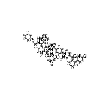 CN(CCC[C@H](CSc1ccccc1)Nc1ccc(S(=O)(=O)NC(=O)c2ccc(N3CCC([C@@H](O)c4ccccc4-c4ccc(Cl)cc4)CC3)cc2)cc1S(=O)(=O)C(F)(F)F)CCOC(=O)CN(C)CC(=O)O